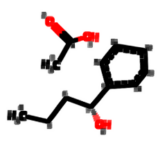 CC(=O)O.CCC[C@@H](O)c1ccccc1